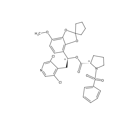 COc1ccc([C@H](Cc2c(Cl)cncc2Cl)OC(=O)[C@@H]2CCCN2S(=O)(=O)c2ccccc2)c2c1OC1(CCCC1)O2